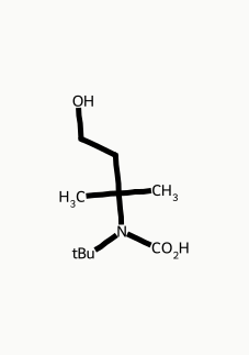 CC(C)(C)N(C(=O)O)C(C)(C)CCO